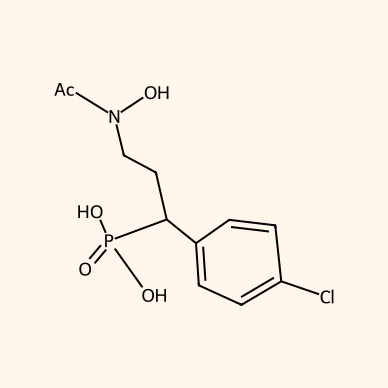 CC(=O)N(O)CCC(c1ccc(Cl)cc1)P(=O)(O)O